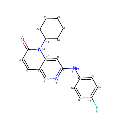 O=c1ccc2cnc(Nc3ccc(F)cc3)cc2n1C1CCCCC1